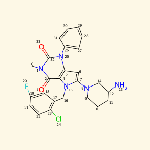 Cn1c(=O)c2c(cc(N3CCCC(N)C3)n2Cc2cc(F)ccc2Cl)n(-c2ccccc2)c1=O